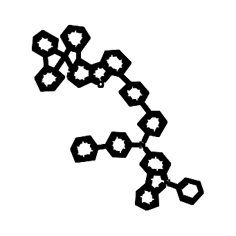 C1=CC(n2c3ccccc3c3cc(N(c4ccc(-c5ccccc5)cc4)c4cccc(-c5ccc(-c6cccc7c6oc6ccc8c(c67)-c6ccccc6C86c7ccccc7-c7ccccc76)cc5)c4)ccc32)=CCC1